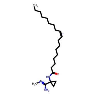 CCCCCCCC/C=C\CCCCCCCC(=O)NC1(/C(N)=N/C)CC1